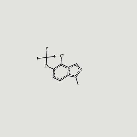 Cc1scc2c(Cl)c(OC(F)(F)F)ccc12